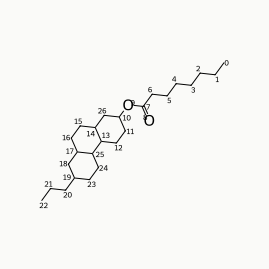 CCCCCCCC(=O)OC1CCC2C(CCC3CC(CCC)CCC32)C1